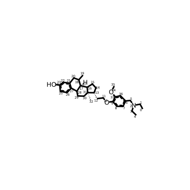 CCN(CC)Cc1ccc(OCC[C@H]2CCC3[C@@H]4C(C)Cc5cc(O)ccc5C4CC[C@@]32C)c(OC)c1